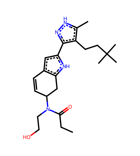 CCC(=O)N(CCO)C1C=Cc2cc(-c3n[nH]c(C)c3CCC(C)(C)C)[nH]c2C1